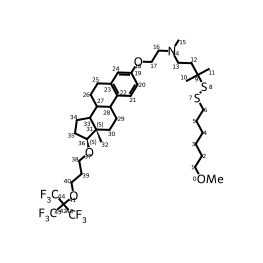 COCCCCCCSSC(C)(C)CCN(C)CCOc1ccc2c(c1)CCC1C2CC[C@@]2(C)C1CC[C@@H]2OCCCOC(C(F)(F)F)(C(F)(F)F)C(F)(F)F